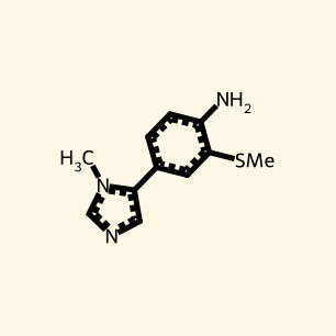 CSc1cc(-c2cncn2C)ccc1N